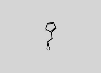 O=CCc1cccs1